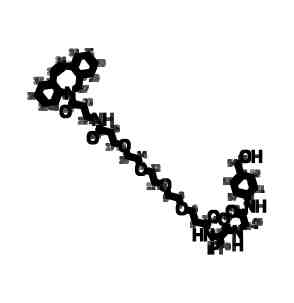 CC(C)C(NC(=O)CCOCCOCCOCCOCCC(=O)NCCC(=O)N1Cc2ccccc2C#Cc2ccccc21)C(=O)N[C@@H](C)C(=O)Nc1ccc(CO)cc1